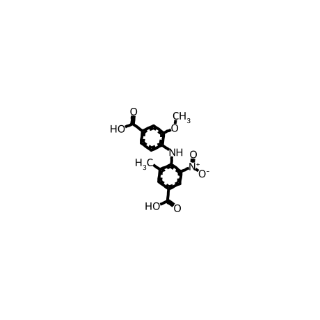 COc1cc(C(=O)O)ccc1Nc1c(C)cc(C(=O)O)cc1[N+](=O)[O-]